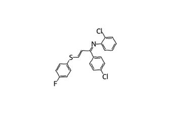 Fc1ccc(S/C=C/C(=N/c2ccccc2Cl)c2ccc(Cl)cc2)cc1